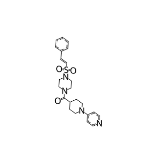 O=C(C1CCN(c2ccncc2)CC1)N1CCN(S(=O)(=O)C=Cc2ccccc2)CC1